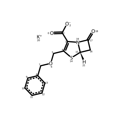 O=C([O-])C1=C(COCc2ccccc2)S[C@H]2CC(=O)N12.[K+]